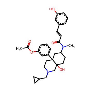 CC(=O)Oc1cccc(C23CCN(CC4CC4)CC2(O)CCC(N(C)C(=O)/C=C/c2cccc(O)c2)C3)c1